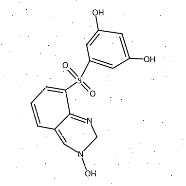 O=S(=O)(c1cc(O)cc(O)c1)c1cccc2c1=NCN(O)C=2